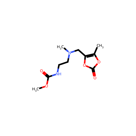 COC(=O)NCCN(C)Cc1oc(=O)oc1C